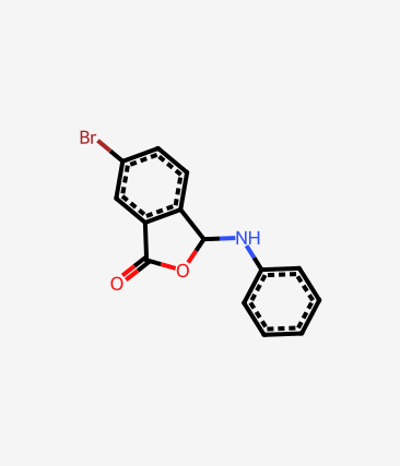 O=C1OC(Nc2ccccc2)c2ccc(Br)cc21